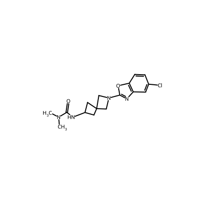 CN(C)C(=O)NC1CC2(C1)CN(c1nc3cc(Cl)ccc3o1)C2